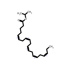 CC/C=C\C/C=C\C/C=C\C/C=C\C/C=C\CCCC(=O)OC(C)C